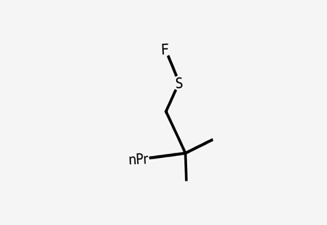 CCCC(C)(C)CSF